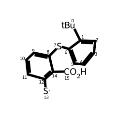 CC(C)(C)c1ccccc1Sc1cccc([S])c1C(=O)O